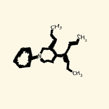 CC=C/C(=C/CC)C1CCN(c2ccccc2)C/C1=C\CC